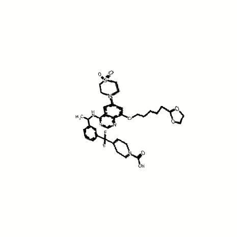 CC(Nc1ncnc2c(OCCCCCC3OCCO3)cc(N3CCS(=O)(=O)CC3)cc12)c1cccc(C(F)(F)C2CCN(C(=O)O)CC2)c1